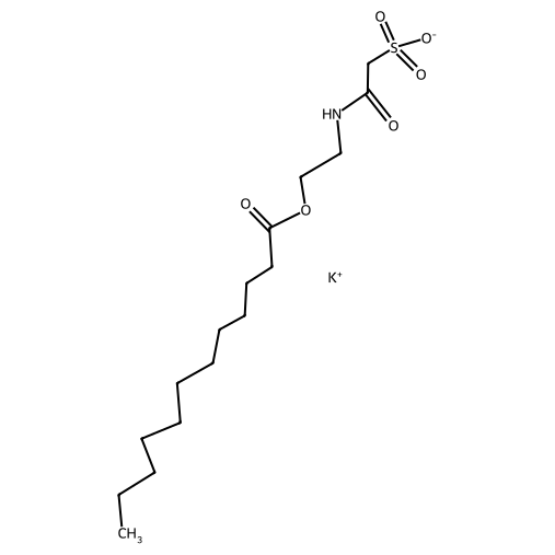 CCCCCCCCCCCC(=O)OCCNC(=O)CS(=O)(=O)[O-].[K+]